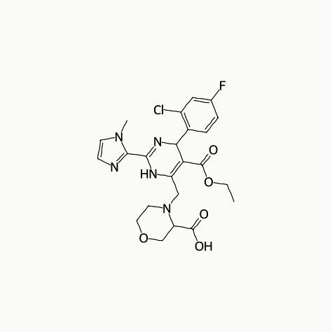 CCOC(=O)C1=C(CN2CCOCC2C(=O)O)NC(c2nccn2C)=NC1c1ccc(F)cc1Cl